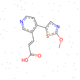 COc1ncc(-c2ccncc2/C=C/C(=O)O)s1